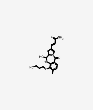 Cc1ccc2c(c1OCCCC#N)NC(O)C1CC(C=CC(N)=O)=CN1C2=O